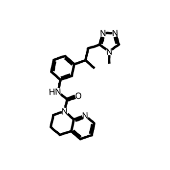 CC(Cc1nncn1C)c1cccc(NC(=O)N2CCCc3cccnc32)c1